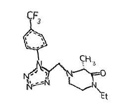 CCN1CCN(Cc2nnnn2-c2ccc(C(F)(F)F)cc2)[C@H](C)C1=O